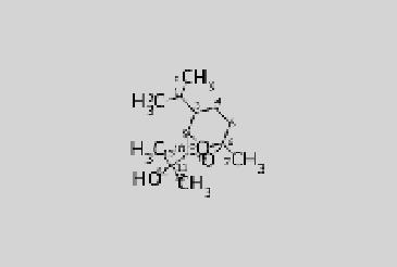 CC(C)C1CCC2(C)OC1C(C(C)(C)O)O2